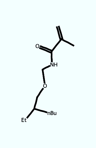 C=C(C)C(=O)NCOCC(CC)CCCC